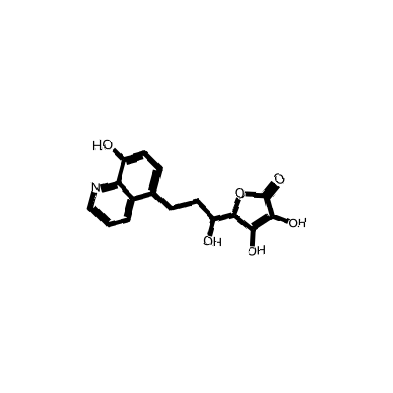 O=C1OC(C(O)CCc2ccc(O)c3ncccc23)C(O)=C1O